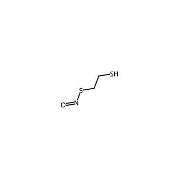 O=NSCCS